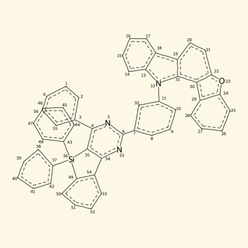 c1ccc(-c2nc(-c3cccc(-n4c5ccccc5c5ccc6oc7ccccc7c6c54)c3)nc3c2[Si](c2ccccc2)(c2ccccc2)c2ccccc2-3)cc1